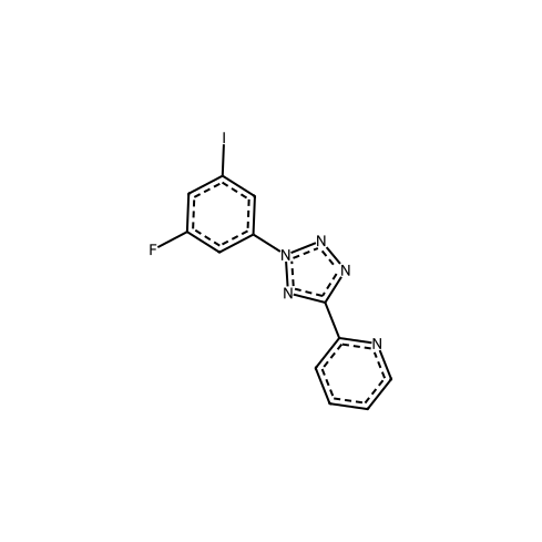 Fc1cc(I)cc(-n2nnc(-c3ccccn3)n2)c1